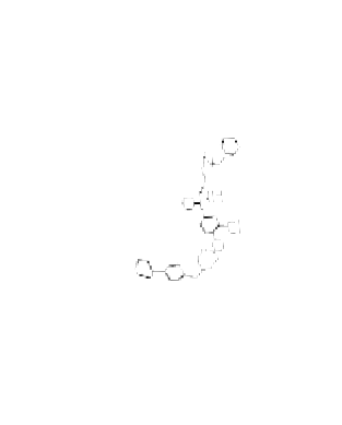 CN(CCCNC(=O)c1ccc(OC2CCC(Cc3ccc(-c4ccccc4)cc3)CC2)c(Cl)c1)Cc1ccccc1